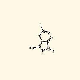 CCc1ccc2c(c1)c(N)nn2C